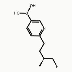 C[C@H](CF)CCc1ccc(B(O)O)cn1